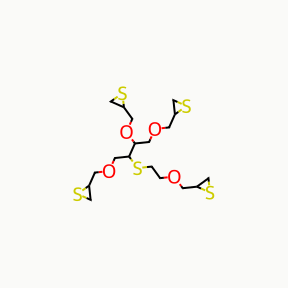 C(CSC(COCC1CS1)C(COCC1CS1)OCC1CS1)OCC1CS1